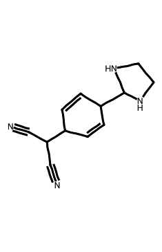 N#CC(C#N)C1C=CC(C2NCCN2)C=C1